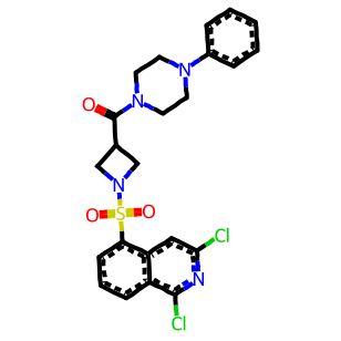 O=C(C1CN(S(=O)(=O)c2cccc3c(Cl)nc(Cl)cc23)C1)N1CCN(c2ccccc2)CC1